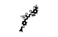 O=C(CC(CCn1nnc2ccc(C(F)(F)F)cc2c1=O)C(=O)O)c1ccc(OCC2CC2)cc1